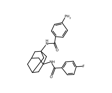 O=C(NC12CC3CC(C1)CC(NC(=O)c1ccc(P)cc1)(C3)C2)c1ccc(F)cc1